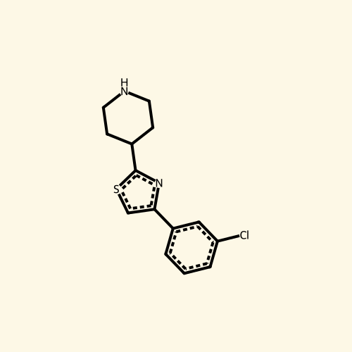 Clc1cccc(-c2csc(C3CCNCC3)n2)c1